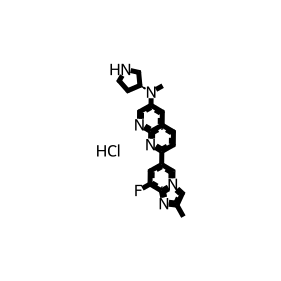 Cc1cn2cc(-c3ccc4cc(N(C)[C@@H]5CCNC5)cnc4n3)cc(F)c2n1.Cl